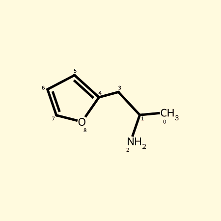 CC(N)Cc1c[c]co1